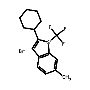 Cc1ccc2cc(C3CCCCC3)[s+](C(F)(F)F)c2c1.[Br-]